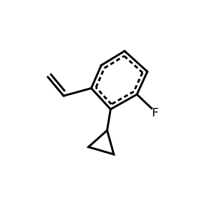 C=Cc1cccc(F)c1C1CC1